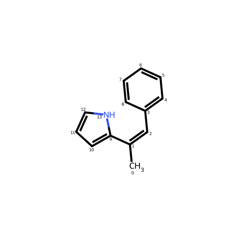 CC(=Cc1ccccc1)c1ccc[nH]1